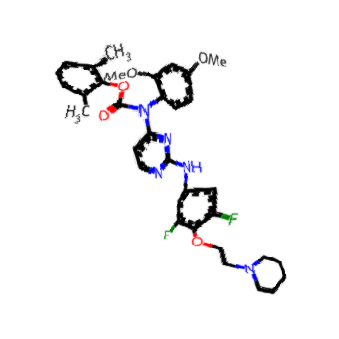 COc1ccc(N(C(=O)Oc2c(C)cccc2C)c2ccnc(Nc3cc(F)c(OCCN4CCCCC4)c(F)c3)n2)c(OC)c1